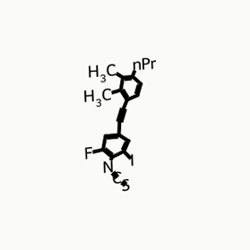 CCCc1ccc(C#Cc2cc(F)c(N=C=S)c(I)c2)c(C)c1C